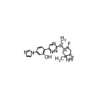 CCC[C@@]1(C)C[C@@H](N(C)c2ncc(-c3ccc(-n4ccnc4)cc3O)nn2)[C@H](F)C[C@@H]1F